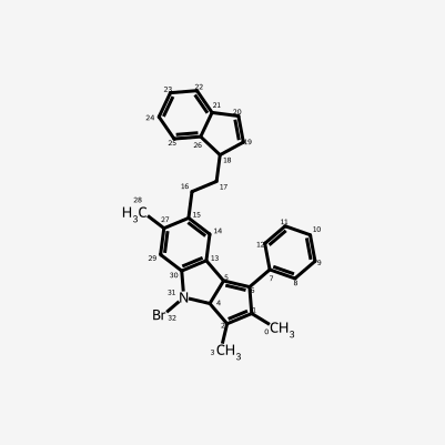 CC1=C(C)C2C(=C1c1ccccc1)c1cc(CCC3C=Cc4ccccc43)c(C)cc1N2Br